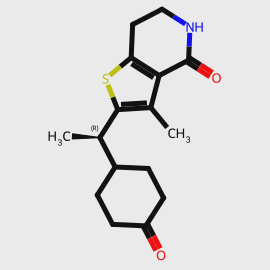 Cc1c([C@H](C)C2CCC(=O)CC2)sc2c1C(=O)NCC2